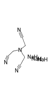 N#CCN(CC#N)CC#N.[NaH].[NaH].[NaH]